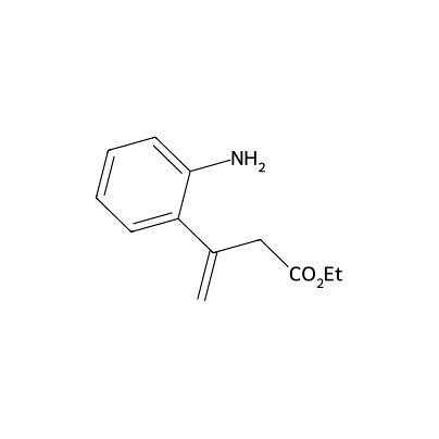 C=C(CC(=O)OCC)c1ccccc1N